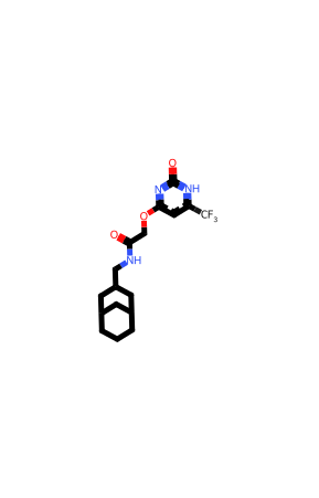 O=C(COc1cc(C(F)(F)F)[nH]c(=O)n1)NCC1CC2CCCC(C2)C1